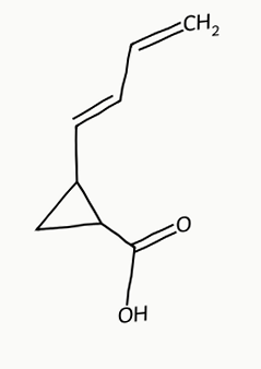 C=CC=CC1CC1C(=O)O